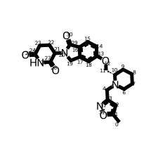 Cc1cc(CN2CCCC[C@H]2COc2ccc3c(c2)CN(C2CCC(=O)NC2=O)C3=O)no1